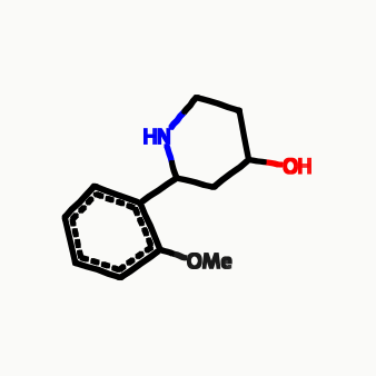 COc1ccccc1C1CC(O)CCN1